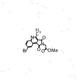 COC(=O)CN1C(=O)c2c(C)nc3ccc(Br)cc3c2C1=O